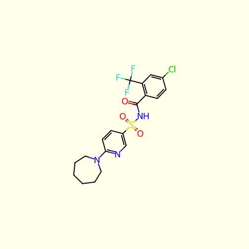 O=C(NS(=O)(=O)c1ccc(N2CCCCCC2)nc1)c1ccc(Cl)cc1C(F)(F)F